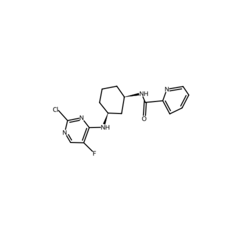 O=C(N[C@@H]1CCC[C@H](Nc2nc(Cl)ncc2F)C1)c1ccccn1